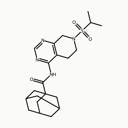 CC(C)S(=O)(=O)N1CCc2c(ncnc2NC(=O)C23CC4CC(CC(C4)C2)C3)C1